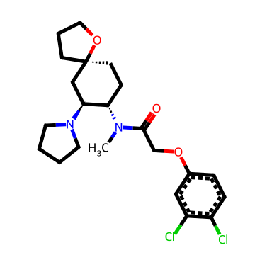 CN(C(=O)COc1ccc(Cl)c(Cl)c1)[C@H]1CC[C@@]2(CCCO2)C[C@@H]1N1CCCC1